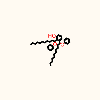 CCCCCCCCCCC(Oc1ccccc1)c1cccc(O)c1C(CCCCCCCCCC)Oc1ccccc1